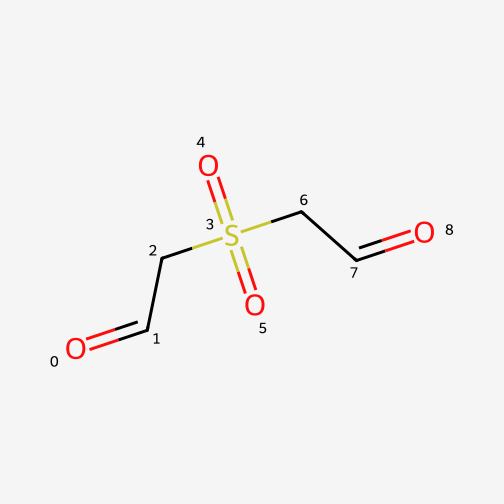 O=CCS(=O)(=O)CC=O